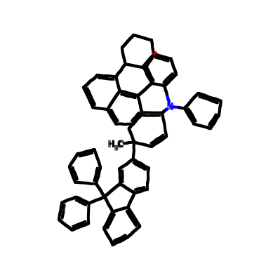 CC1(c2ccc3c(c2)C(c2ccccc2)(c2ccccc2)c2ccccc2-3)C=CC(N(c2ccccc2)c2ccccc2-c2cccc3cccc(C4CCCCC4)c23)=CC1